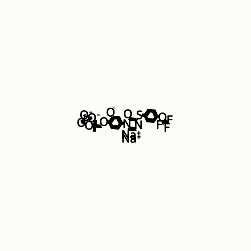 COc1cc(-n2ccnc(Sc3ccc(OC(F)(F)F)cc3)c2=O)ccc1OCC(C)(C)OP(=O)([O-])[O-].[Na+].[Na+]